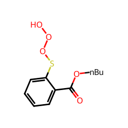 CCCCOC(=O)c1ccccc1SOOO